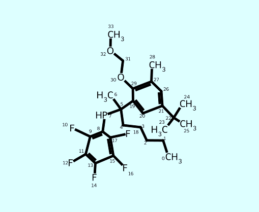 CCCCCC(C)(Pc1c(F)c(F)c(F)c(F)c1F)c1cc(C(C)(C)C)cc(C)c1OCOC